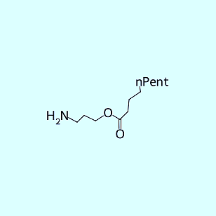 CCCCCCCCC(=O)OCCCN